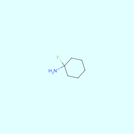 NC1(F)CCCCC1